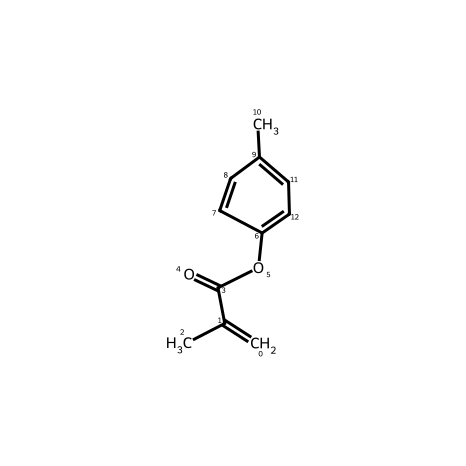 C=C(C)C(=O)Oc1ccc(C)cc1